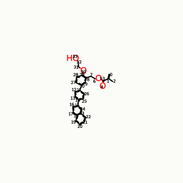 C=C(C)C(=O)OCCc1cc(-c2ccc(-c3ccc4ccccc4c3)cc2)ccc1OCCO